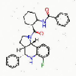 O=C(NC1CCCC[C@@H]1C(=O)N1CC[C@H]2[C@@H](c3ccccc3)Nc3c(F)cccc3[C@H]21)c1ccccc1